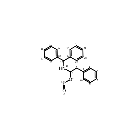 O=POC(Cc1ccccc1)NC(c1ccccc1)c1ccccc1